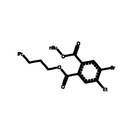 CCCCOC(=O)c1cc(Br)c(CC)cc1C(=O)OCCCC(C)C